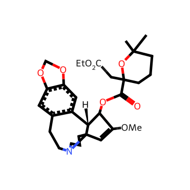 CCOC(=O)CC1(C(=O)OC2C(OC)=CC34CCCN3CCc3cc5c(cc3[C@H]24)OCO5)CCCC(C)(C)O1